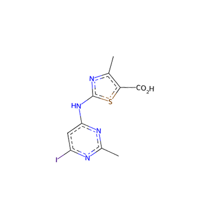 Cc1nc(I)cc(Nc2nc(C)c(C(=O)O)s2)n1